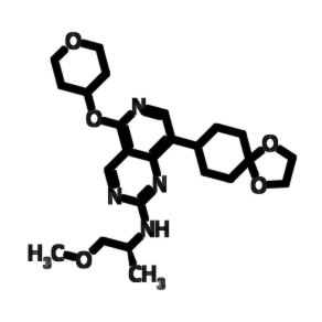 COC[C@H](C)Nc1ncc2c(OC3CCOCC3)ncc(C3CCC4(CC3)OCCO4)c2n1